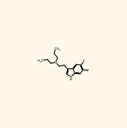 CCCN(CCC)CCc1c[nH]c2cc(F)c(F)cc12